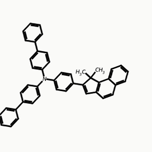 CC1(C)C(c2ccc(N(c3ccc(-c4ccccc4)cc3)c3ccc(-c4ccccc4)cc3)cc2)=Cc2ccc3ccccc3c21